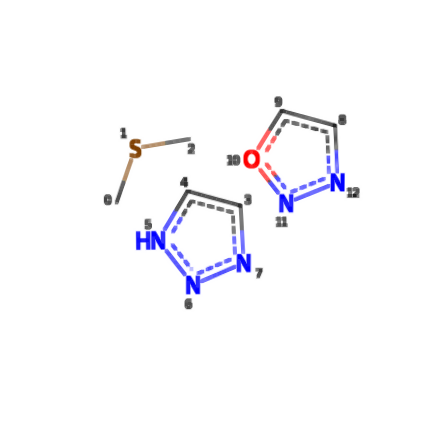 CSC.c1c[nH]nn1.c1conn1